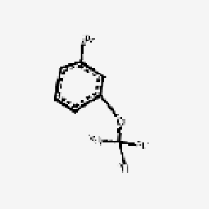 [2H]C([2H])([2H])Oc1cccc(C(C)C)c1